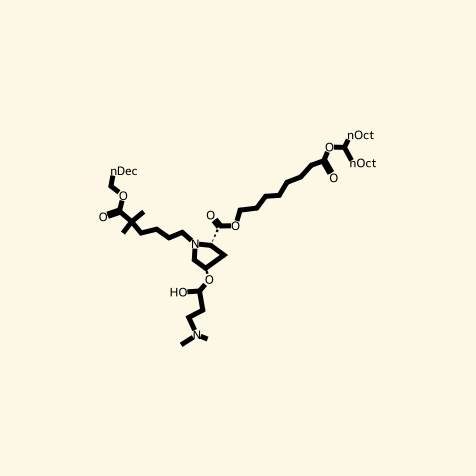 CCCCCCCCCCCOC(=O)C(C)(C)CCCCN1C[C@@H](OC(O)CCN(C)C)C[C@H]1C(=O)OCCCCCCCC(=O)OC(CCCCCCCC)CCCCCCCC